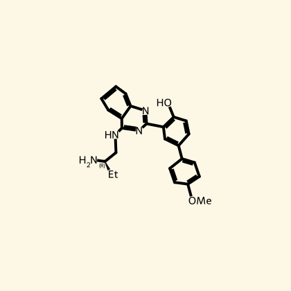 CC[C@@H](N)CNc1nc(-c2cc(-c3ccc(OC)cc3)ccc2O)nc2ccccc12